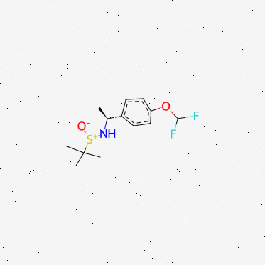 C[C@H](N[S@@+]([O-])C(C)(C)C)c1ccc(OC(F)F)cc1